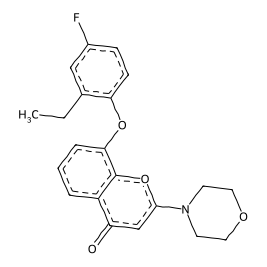 CCc1cc(F)ccc1Oc1cccc2c(=O)cc(N3CCOCC3)oc12